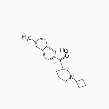 Cc1ccc2cc(C(=O)C3CCCN(C4CCC4)C3)ccc2c1.Cl